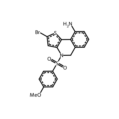 COc1ccc(S(=O)(=O)N2Cc3cccc(N)c3-c3sc(Br)cc32)cc1